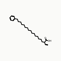 C=CC(CCCCCCCCCCCCCCCCc1ccccc1)C(=O)O